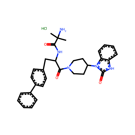 CC(C)(N)C(=O)NC(Cc1ccc(-c2ccccc2)cc1)C(=O)N1CCC(n2c(=O)[nH]c3ccccc32)CC1.Cl